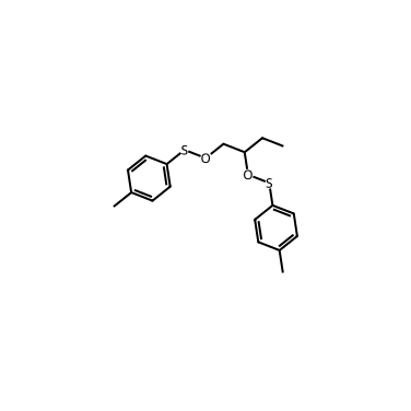 CCC(COSc1ccc(C)cc1)OSc1ccc(C)cc1